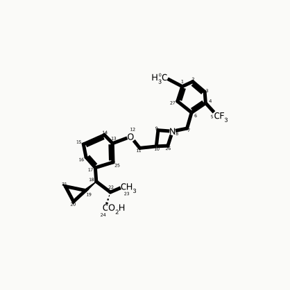 Cc1ccc(C(F)(F)F)c(CN2CC(COc3cccc([C@H](C4CC4)[C@H](C)C(=O)O)c3)C2)c1